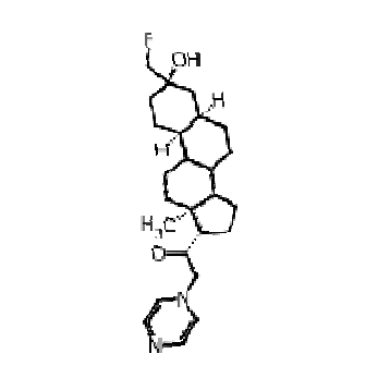 C[C@]12CCC3C(CC[C@@H]4C[C@@](O)(CF)CC[C@H]34)C1CC[C@@H]2C(=O)CN1C=C=NC=C1